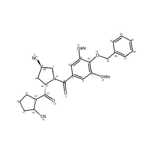 COc1cc(C(=O)N2C[C@H](C#N)C[C@H]2C(=O)N2CCCC2C#N)cc(OC)c1OCc1ccccc1